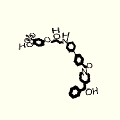 CS(=O)(=O)c1cc(OC[C@@H](O)CN[C@H]2CC[C@H](c3ccc(C(=O)N4CCC(C(O)c5ccccc5)CC4)cc3)CC2)ccc1O